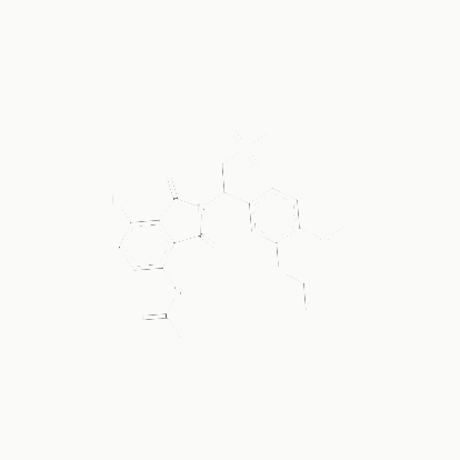 CCOc1cc(C(CS(C)(=O)=O)N2C(=O)c3c(F)ccc(NC(C)=O)c3C2=O)ccc1OC